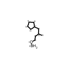 BOCCC(C)CC1CCCC1